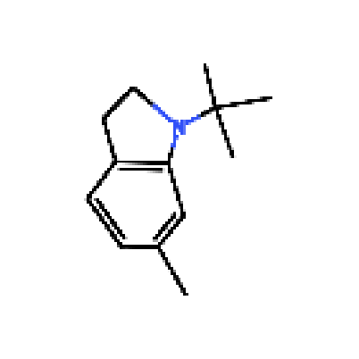 Cc1ccc2c(c1)N(C(C)(C)C)CC2